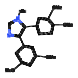 CCCCn1cnc(-c2cc(OC)cc(OC)c2)c1-c1ccc(OC)c(OC)c1